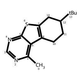 Cc1ncnc2sc3c(c12)CCC(C(C)(C)C)C3